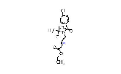 CCOC(=O)/C=C/CN(C(=O)c1ccc(Cl)cc1)C(C)(C)C